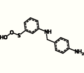 Nc1ccc(CNc2cccc(SOO)c2)cc1